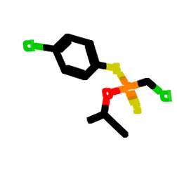 CC(C)OP(=S)(CCl)Sc1ccc(Cl)cc1